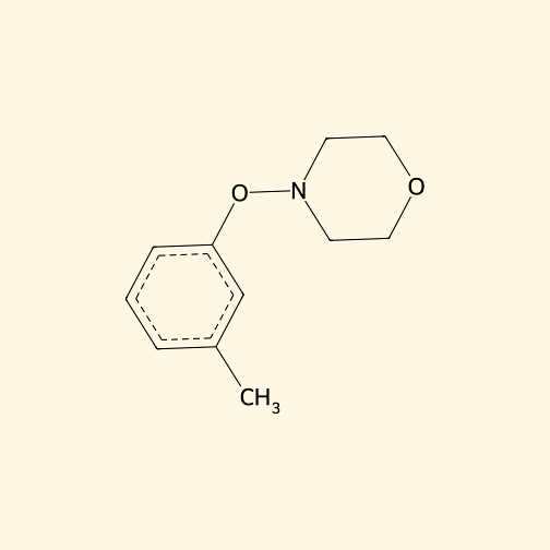 Cc1cccc(ON2CCOCC2)c1